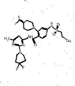 Cc1cc(NC(=O)c2ccc(NS(=O)(=O)CCO)cc2N2CCC(=C(F)F)CC2)nc(N2CCC(F)(F)CC2)n1